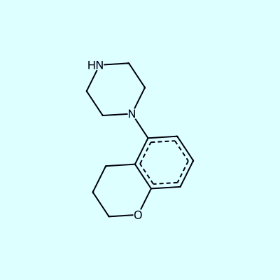 c1cc2c(c(N3CCNCC3)c1)CCCO2